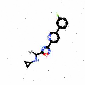 CC(NC1CC1)c1nc(-c2ccc(-c3cccc(F)c3)cn2)no1